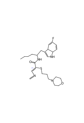 C=N/C=C(\SCCCN1CCOCC1)C(=O)NC(CCCC)CC1=CNC2C=CC(F)=CC12